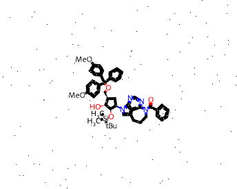 COc1ccc(C(OC[C@H]2C[C@@H](n3cc4c5c(ncnc53)N(C(=O)c3ccccc3)CCC4)[C@H](O[Si](C)(C)C(C)(C)C)[C@@H]2O)(c2ccccc2)c2ccc(OC)cc2)cc1